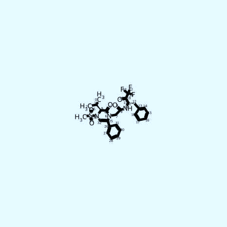 CC(C)[C@H]1C(=O)N(CC(=O)N[C@@H](Cc2ccccc2)C(=O)C(F)(F)F)C(c2ccccc2)=CN1S(C)(=O)=O